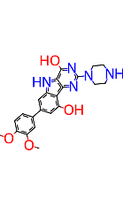 COc1ccc(-c2cc(O)c3c(c2)[nH]c2c(O)nc(N4CCNCC4)nc23)cc1OC